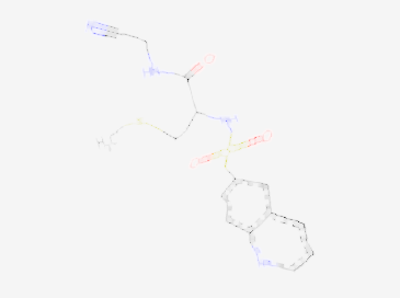 CSCC(NS(=O)(=O)c1ccc2ncccc2c1)C(=O)NCC#N